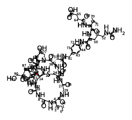 CC[C@H](C)[C@@H]1NC(=O)CNC(=O)[C@@H]2Cc3c([nH]c4ccccc34)SC[C@H](NC(=O)CNC1=O)C(=O)N[C@@H](CC(=O)NCc1ccc(NC(=O)[C@H](CCCNC(N)=O)NC(=O)[C@@H](NC(=O)CCC(=O)O)C(C)C)cc1)C(=O)N1C[C@H](O)C[C@H]1C(=O)N[C@@H]([C@@H](C)[C@@H](O)CO)C(=O)N2